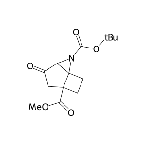 COC(=O)C12CCC13C(C(=O)C2)N3C(=O)OC(C)(C)C